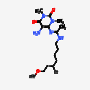 CCCOCCC(CC)CCCCN/C(C)=N/c1c(N)c(=O)n(C)c(=O)n1C